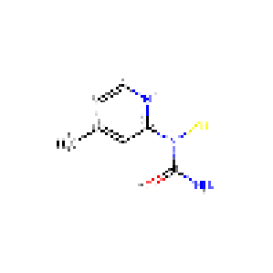 Cc1ccnc(N(S)C(N)=O)c1